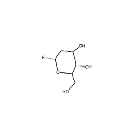 OCC1O[C@H](F)CC(O)[C@@H]1O